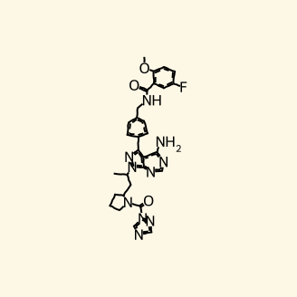 COc1ccc(F)cc1C(=O)NCc1ccc(-c2nn(C(C)CC3CCCN3C(=O)n3cncn3)c3ncnc(N)c23)cc1